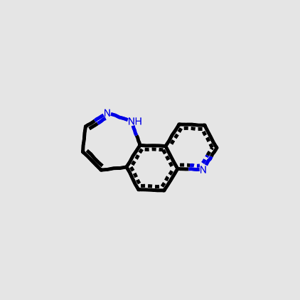 C1=Cc2ccc3ncccc3c2NN=C1